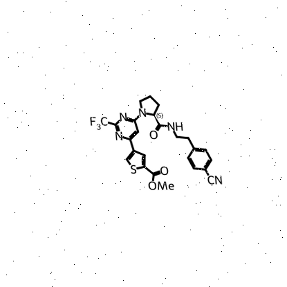 COC(=O)c1cc(-c2cc(N3CCC[C@H]3C(=O)NCCc3ccc(C#N)cc3)nc(C(F)(F)F)n2)cs1